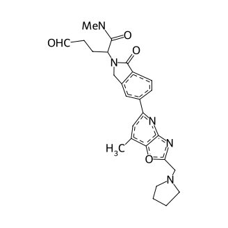 CNC(=O)C(CCC=O)N1Cc2cc(-c3cc(C)c4oc(CN5CCCC5)nc4n3)ccc2C1=O